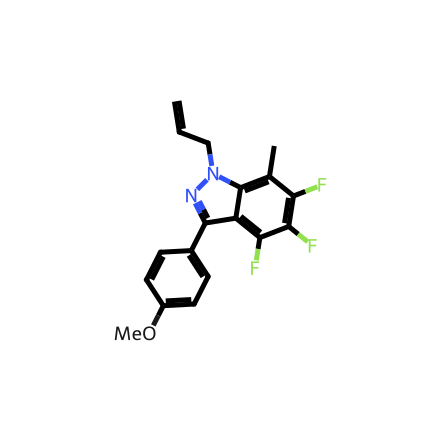 C=CCn1nc(-c2ccc(OC)cc2)c2c(F)c(F)c(F)c(C)c21